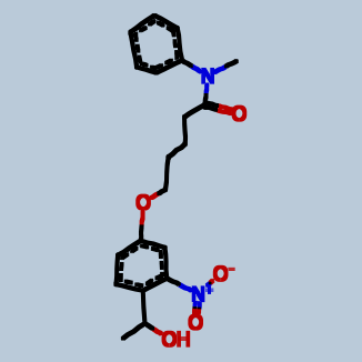 CC(O)c1ccc(OCCCCC(=O)N(C)c2ccccc2)cc1[N+](=O)[O-]